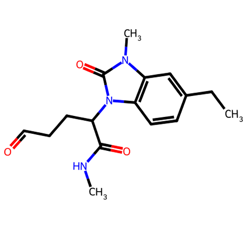 CCc1ccc2c(c1)n(C)c(=O)n2C(CCC=O)C(=O)NC